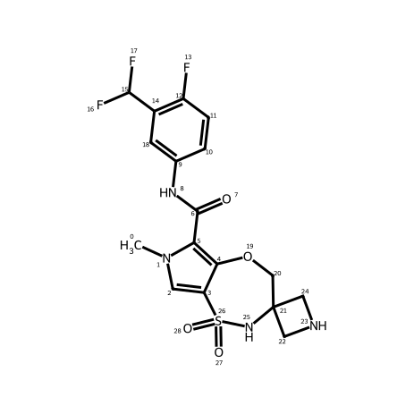 Cn1cc2c(c1C(=O)Nc1ccc(F)c(C(F)F)c1)OCC1(CNC1)NS2(=O)=O